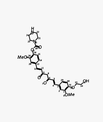 COc1cc(C=CC(=O)CC(=O)C=Cc2ccc(OC(=O)N3CCNCC3)c(OC)c2)ccc1OCCO